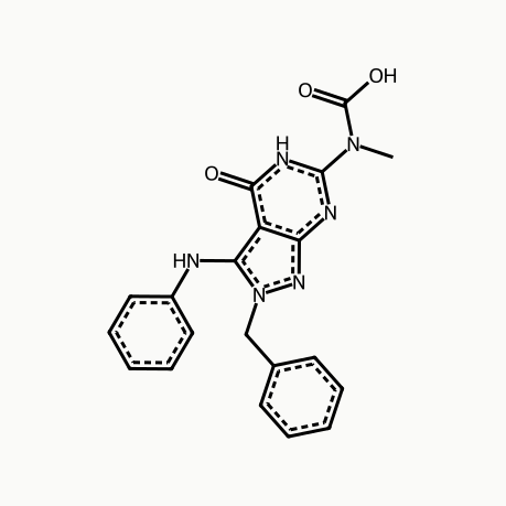 CN(C(=O)O)c1nc2nn(Cc3ccccc3)c(Nc3ccccc3)c2c(=O)[nH]1